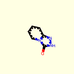 O=c1[nH]nc2cc[c]cn12